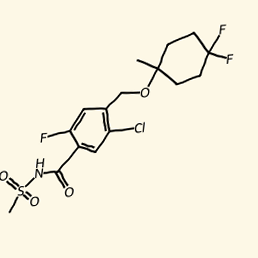 CC1(OCc2cc(F)c(C(=O)NS(C)(=O)=O)cc2Cl)CCC(F)(F)CC1